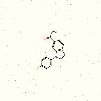 COC(=O)c1ccc2c(c1)N(c1ccc(F)cc1)CC2